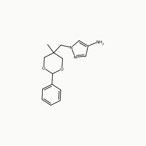 CC1(Cn2cc(N)cn2)COC(c2ccccc2)OC1